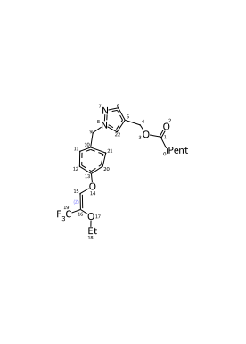 CCCC(C)C(=O)OCc1cnn(Cc2ccc(O/C=C(\OCC)C(F)(F)F)cc2)c1